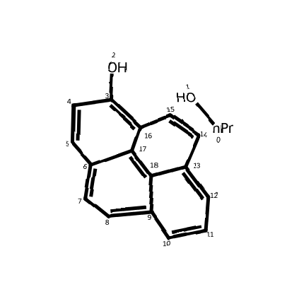 CCCO.Oc1ccc2ccc3cccc4ccc1c2c34